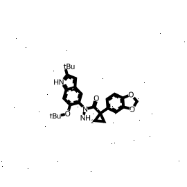 CC(C)(C)Oc1cc2[nH]c(C(C)(C)C)cc2cc1N(N)C(=O)C1(c2ccc3c(c2)OCO3)CC1